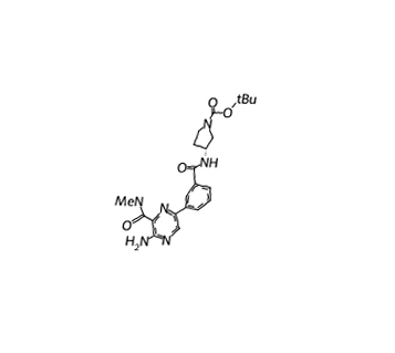 CNC(=O)c1nc(-c2cccc(C(=O)N[C@@H]3CCN(C(=O)OC(C)(C)C)C3)c2)cnc1N